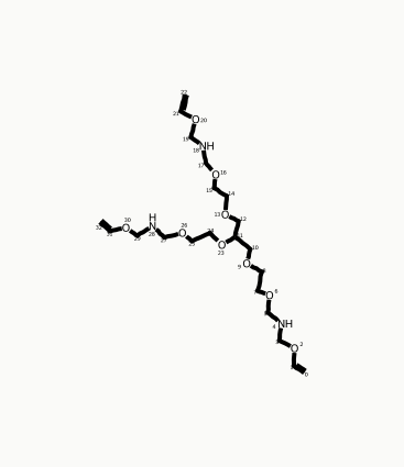 C=COCNCOCCOCC(COCCOCNCOC=C)OCCOCNCOC=C